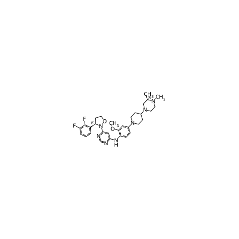 COc1cc(N2CCC(N3CCN(C)[C@H](C)C3)CC2)ccc1Nc1cc(N2OCC[C@@H]2c2cccc(F)c2F)ncn1